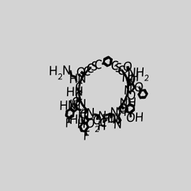 NCCCC[C@H]1CNCC(=O)N[C@@H](Cc2c[nH]c3ccc(F)cc23)C(=O)N[C@@H](Cc2c[nH]c3ccc(F)cc23)C(=O)N[C@@H](CC(=O)O)C(=O)N[C@@H](Cc2cnc[nH]2)C(=O)N[C@@H](Cc2ccc(O)cc2)C(=O)N2C[C@@H](Oc3ccccc3)C[C@H]2C(=O)N[C@H](C(N)=O)CSCc2cccc(c2)CSCCC(=O)N1